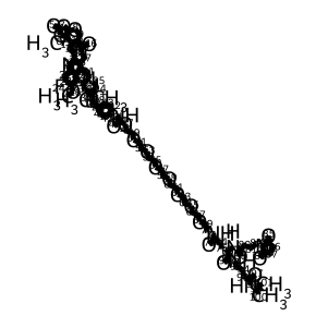 CC[C@@]1(OC=O)C(=O)OCc2c1cc1n(c2=O)Cc2c-1nc1cc(F)c(OC)cc1c2CN1CCC([N+](C)(C)Cc2ccc(NC(=O)OCCOCCOCCOCCOCCOCCOCCOCCNC(=O)CC[C@H](NC(=O)CCCN3C(=O)C=CC3=O)C(=O)NCCCC(=O)NC(C)C)cc2)CC1